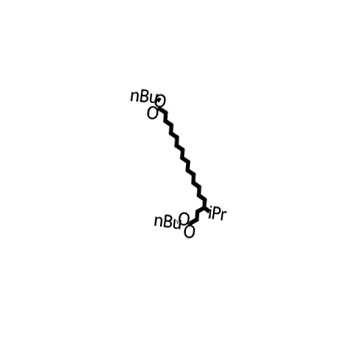 CCCCOC(=O)CCCCCCCCCCCCCCCC(CCC(=O)OCCCC)C(C)C